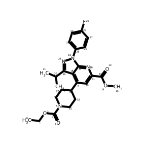 CCOC(=O)N1CCC(c2cc(C(=O)OC)nc3c2c(C(C)C)nn3-c2ccc(F)cc2)CC1